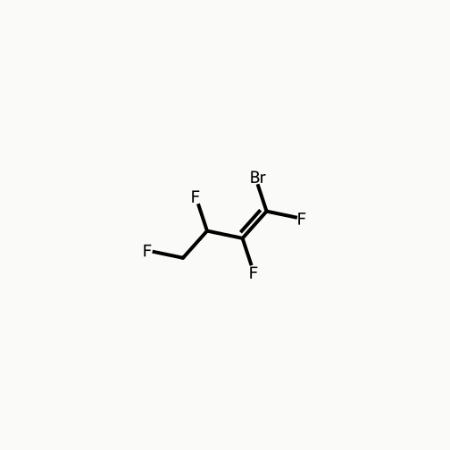 FCC(F)C(F)=C(F)Br